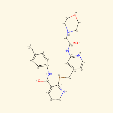 CC(C)(C)c1ccc(NC(=O)c2cccnc2SCc2ccnc(NC(=O)CN3CCOCC3)c2)cc1